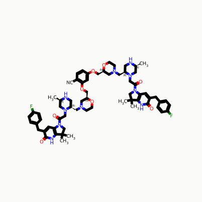 C[C@@H]1CN(CC(=O)N2CC(C)(C)c3[nH]c(=O)c(Cc4ccc(F)cc4)cc32)[C@@H](CN2CCO[C@H](COc3ccc(C#N)c(OC[C@@H]4CN(C[C@H]5CN[C@H](C)CN5CC(=O)N5CC(C)(C)c6[nH]c(=O)c(Cc7ccc(F)cc7)cc65)CCO4)c3)C2)CN1